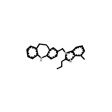 CCCc1nc2c(C)cccc2n1Cc1ccc2c(c1)CCc1ccccc1N2